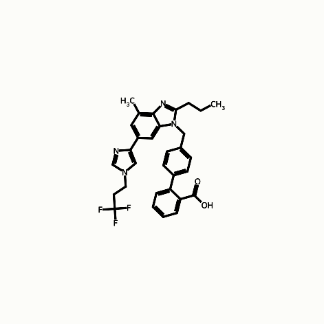 CCCc1nc2c(C)cc(-c3cn(CCC(F)(F)F)cn3)cc2n1Cc1ccc(-c2ccccc2C(=O)O)cc1